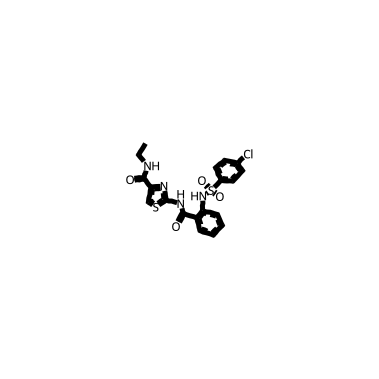 CCNC(=O)c1csc(NC(=O)c2ccccc2NS(=O)(=O)c2ccc(Cl)cc2)n1